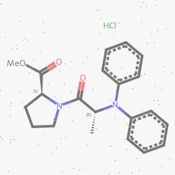 COC(=O)[C@@H]1CCCN1C(=O)[C@@H](C)N(c1ccccc1)c1ccccc1.Cl